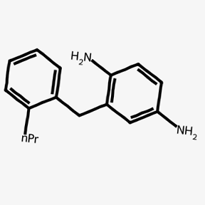 CCCc1ccccc1Cc1cc(N)ccc1N